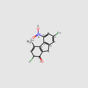 CC1=CC(F)C(=O)C2=C1c1c(cc(F)cc1[N+](=O)[O-])C2